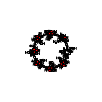 NC[C@H]1O[C@@H]2O[C@H]3[C@H](O)[C@@H](O)[C@@H](O[C@H]4[C@H](O)[C@@H](O)[C@@H](O[C@H]5[C@H](O)[C@@H](O)[C@@H](O[C@H]6[C@H](O)[C@@H](O)[C@@H](O[C@H]7[C@H](O)[C@@H](O)[C@@H](O[C@H]8[C@H](O)[C@@H](O)[C@@H](O[C@H]9[C@H](O)[C@@H](O)[C@@H](O[C@H]1[C@H](O)[C@H]2O)O[C@@H]9CO)O[C@@H]8CO)O[C@@H]7CO)O[C@@H]6CO)O[C@@H]5CO)O[C@@H]4CO)O[C@@H]3CO